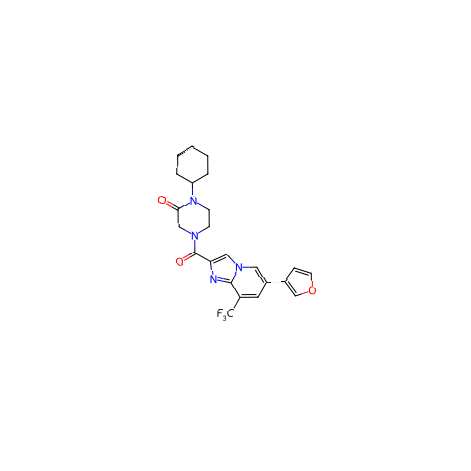 O=C(c1cn2cc(-c3ccoc3)cc(C(F)(F)F)c2n1)N1CCN(C2CCCCC2)C(=O)C1